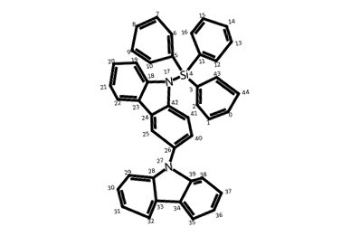 c1ccc([Si](c2ccccc2)(c2ccccc2)n2c3ccccc3c3cc(-n4c5ccccc5c5ccccc54)ccc32)cc1